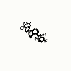 NC(=O)c1ccc(-n2ccc3c(-c4nc5ccc(F)cc5[nH]4)cccc32)cc1